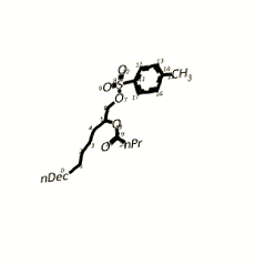 CCCCCCCCCCCCCCC(COS(=O)(=O)c1ccc(C)cc1)OC(=O)CCC